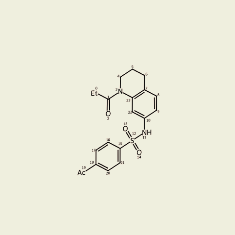 CCC(=O)N1CCCc2ccc(NS(=O)(=O)c3ccc(C(C)=O)cc3)cc21